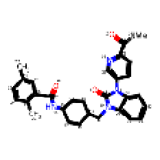 CNC(=O)c1ccc(-n2c(=O)n(CC3CCC(NC(=O)c4cc(C)ccc4C(F)(F)F)CC3)c3ccccc32)cn1